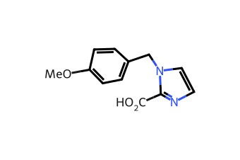 COc1ccc(Cn2ccnc2C(=O)O)cc1